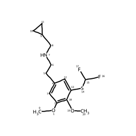 COc1cc(CCNCC2CC2)cc(SC(F)F)c1OC